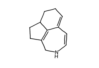 C1=CC2=CCCC3CCC(=C23)CN1